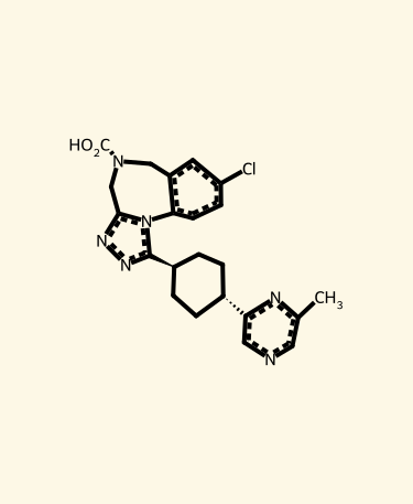 Cc1cncc([C@H]2CC[C@H](c3nnc4n3-c3ccc(Cl)cc3CN(C(=O)O)C4)CC2)n1